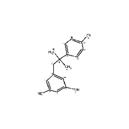 CC(C)(C)c1cc(C#N)cc(CC(C)(C)c2ccc(C#N)cc2)c1